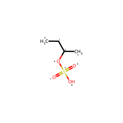 CCC(C)OS(=O)(=O)O